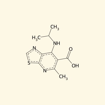 Cc1nc2scnc2c(NC(C)C)c1C(=O)O